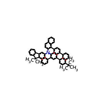 CC(C)(C)c1ccc(-c2ccc(N(c3ccc4c(c3)-c3ccccc3C4(C)C)c3ccc4ccccc4c3-c3ccc(-c4ccccc4)cc3)c(-c3ccccc3)c2)cc1